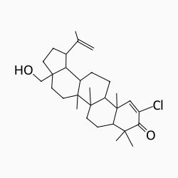 C=C(C)C1CCC2(CO)CCC3(C)C(CCC4C5(C)C=C(Cl)C(=O)C(C)(C)C5CCC43C)C12